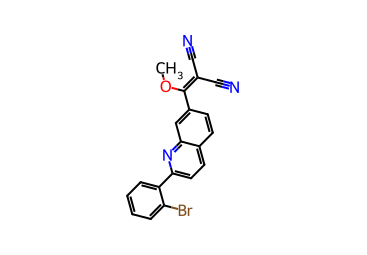 COC(=C(C#N)C#N)c1ccc2ccc(-c3ccccc3Br)nc2c1